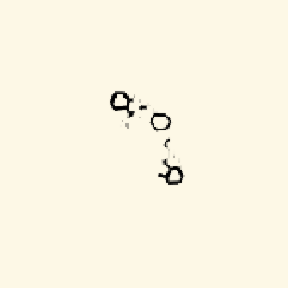 CN(C)c1nc(N[C@H]2CC[C@@H](CCNC(=O)c3c(Cl)cc(Cl)cc3Cl)CC2)nc2ccccc12